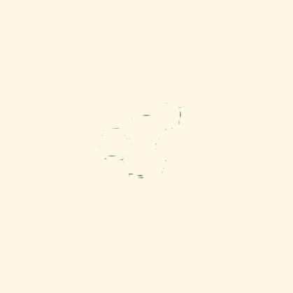 Cc1nc(Cc2cccc(C(=O)O)c2)c(CCBr)s1